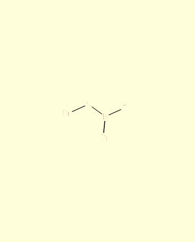 FB(Br)SBr